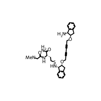 CNCC(=O)N[C@@H](CCSN[C@H]1c2ccccc2C[C@H]1OCC#CC#CCO[C@@H]1Cc2ccccc2[C@@H]1N)C(N)=O